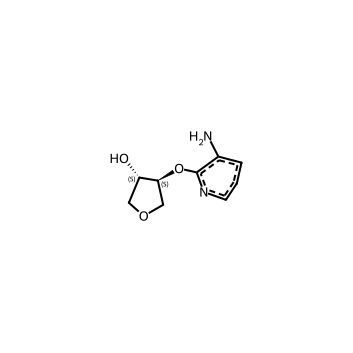 Nc1cccnc1O[C@H]1COC[C@@H]1O